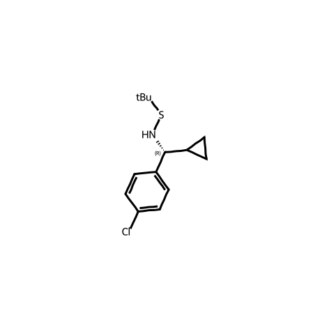 CC(C)(C)SN[C@@H](c1ccc(Cl)cc1)C1CC1